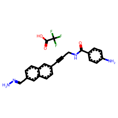 NN=Cc1ccc2cc(C#CCNC(=O)c3ccc(N)cc3)ccc2c1.O=C(O)C(F)(F)F